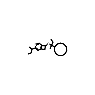 CCC(C)c1cc2c(cn1)C(OC(C)(CC)C1CCCCCCCCCC1)C2